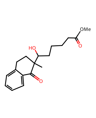 COC(=O)CCCCC(O)C1(C)CCc2ccccc2C1=O